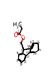 CCC(=O)OCC1c2ccccc2-c2ccccc21